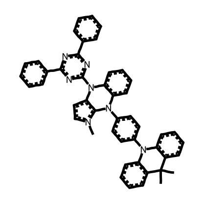 Cn1ccc2c1N(c1ccc(N3c4ccccc4C(C)(C)c4ccccc43)cc1)c1ccccc1N2c1nc(-c2ccccc2)nc(-c2ccccc2)n1